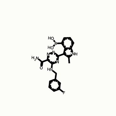 Cc1[nH]c2cccc(B(O)O)c2c1-c1nnc(C(N)=O)c(NCc2cccc(F)c2)n1